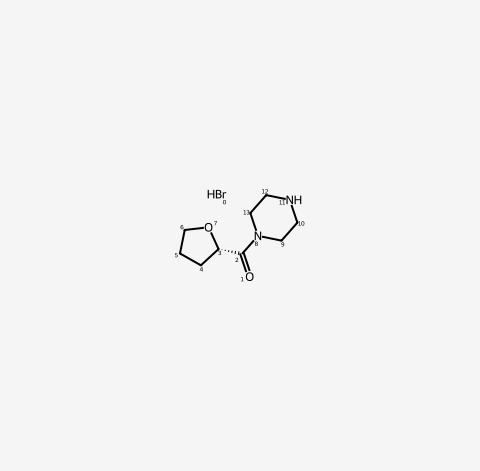 Br.O=C([C@@H]1CCCO1)N1CCNCC1